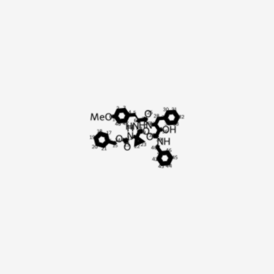 COc1ccc(C[C@H](NC(=O)C2(NC(=O)OCc3ccccc3)CC2)C(=O)NC(Cc2ccccc2)C(O)C(=O)NCc2ccccc2)cc1